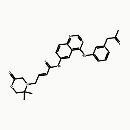 CC(=O)Cc1cccc(Nc2ncnc3ccc(NC(=O)C=CCN4CC(=O)OCC4(C)C)cc23)c1